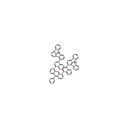 c1ccc(-c2c3cccc(-c4ccc(-c5cccc6c5c5cccc7c8ccccc8n6c75)c5ccccc45)c3cc3c(-c4ccc(-c5ccc6c7ccccc7n7c8ccccc8c5c67)c5ccccc45)cccc23)cc1